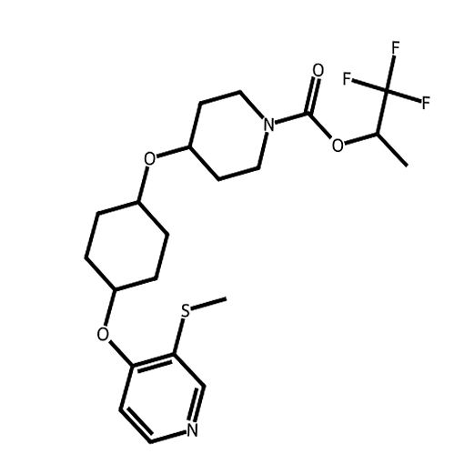 CSc1cnccc1OC1CCC(OC2CCN(C(=O)OC(C)C(F)(F)F)CC2)CC1